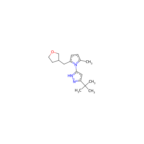 Cc1ccc(CC2CCOC2)n1-c1cc(C(C)(C)C)n[nH]1